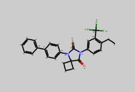 CCc1ccc(N2C(=O)C3(CCC3)N(c3ccc(-c4ccccc4)cc3)C2=S)cc1C(F)(F)F